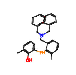 Cc1cccc(Pc2c(C)cccc2CN(Cc2ccccc2)Cc2ccccc2)c1O